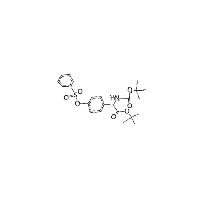 CC(C)(C)OC(=O)NC(C(=O)OC(C)(C)C)c1ccc(OS(=O)(=O)c2ccccc2)cc1